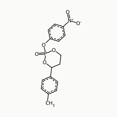 Cc1ccc(C2CCOP(=O)(Oc3ccc([N+](=O)[O-])cc3)O2)cc1